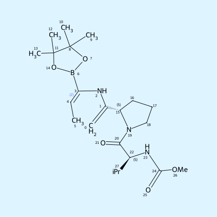 C=C(N/C(=C\C)B1OC(C)(C)C(C)(C)O1)[C@@H]1CCCN1C(=O)[C@@H](NC(=O)OC)C(C)C